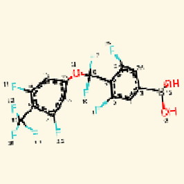 OB(O)c1cc(F)c(C(F)(F)Oc2cc(F)c(C(F)(F)F)c(F)c2)c(F)c1